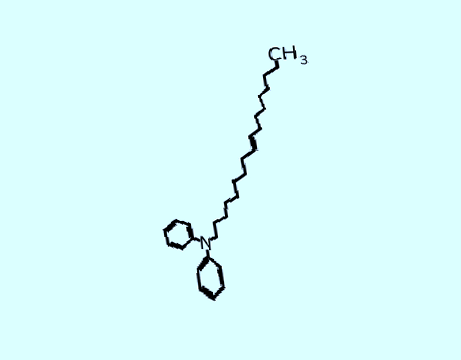 CCCCCCCCC=CCCCCCCCCN(c1ccccc1)c1ccccc1